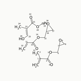 C=C(C)C(=O)OCC1CO1.C=CC(=O)OCC1CO1.CCCOC(=O)C(C)=CO